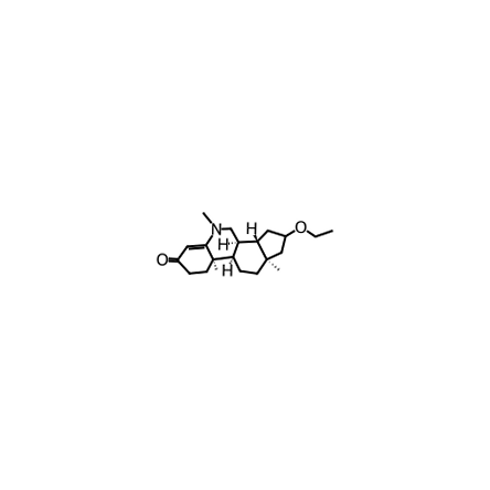 CCOC1C[C@H]2[C@@H]3CN(C)C4=CC(=O)CC[C@]4(C)[C@@H]3CC[C@]2(C)C1